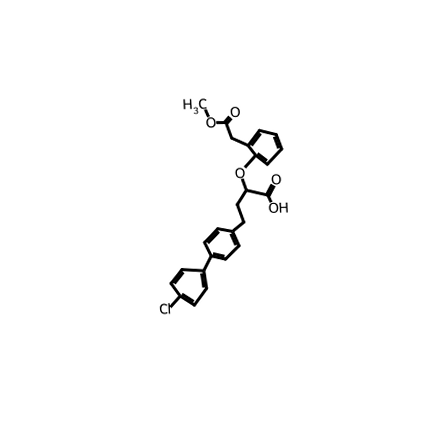 COC(=O)Cc1ccccc1OC(CCc1ccc(-c2ccc(Cl)cc2)cc1)C(=O)O